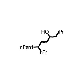 CCCCCC(CCC)CCC(O)CC(C)C